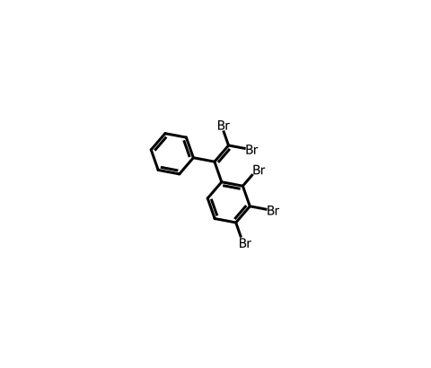 BrC(Br)=C(c1ccccc1)c1ccc(Br)c(Br)c1Br